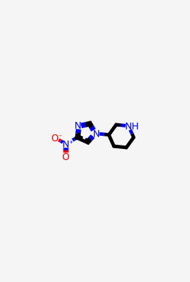 O=[N+]([O-])c1cn(C2CCCNC2)cn1